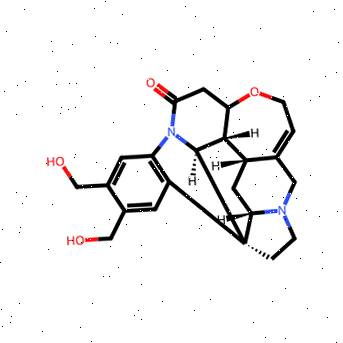 O=C1CC2OCC=C3CN4CC[C@]56c7cc(CO)c(CO)cc7N1[C@H]5[C@H]2[C@H]3C[C@H]46